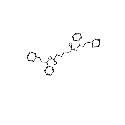 O=C(CCCCC(=O)OC(CCc1ccccc1)c1ccccc1)OC(CCc1ccccc1)c1ccccc1